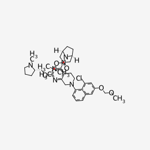 COCOc1cc(Cl)c2c(N3CCc4c(nc(OC[C@@H]5CCCN5C)nc4N4C[C@H]5CC[C@@H](C4)N5C(=O)OC(C)(C)C)C3)cccc2c1